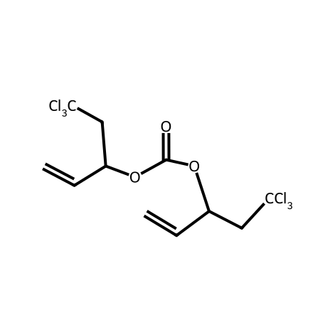 C=CC(CC(Cl)(Cl)Cl)OC(=O)OC(C=C)CC(Cl)(Cl)Cl